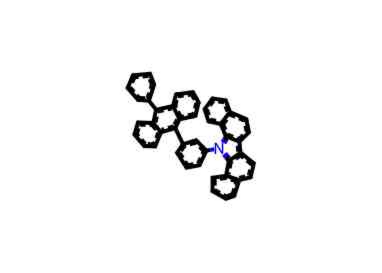 c1ccc(-c2c3ccccc3c(-c3cccc(-n4c5c6ccccc6ccc5c5ccc6ccccc6c54)c3)c3ccccc23)cc1